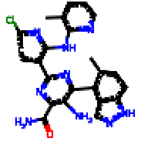 Cc1cccnc1Nc1nc(Cl)ccc1-c1nc(C(N)=O)c(N)c(-c2c(C)ccc3[nH]ncc23)n1